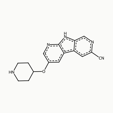 N#Cc1cc2c(cn1)[nH]c1ncc(OC3CCNCC3)cc12